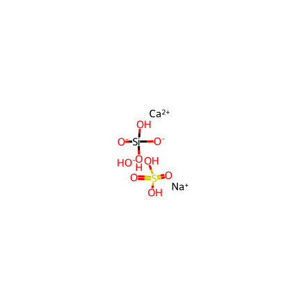 O=S(=O)(O)O.[Ca+2].[Na+].[O-][Si]([O-])(O)O.[OH-]